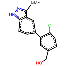 CNc1n[nH]c2ccc(-c3cc(CO)ccc3Cl)cc12